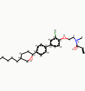 C=CC(=O)N(C)CCOc1ccc(-c2ccc(C3CCC(CCCCC)CO3)cc2)cc1F